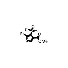 CCc1scc(C(=O)OC)c1S(=O)(=O)Cl